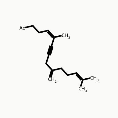 C=C(CC#CC(C)=CCCC(C)=O)CCC=C(C)C